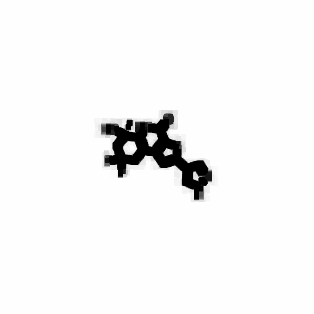 C[C@@]1(O)CC(F)(F)Cc2c1[nH]c(=O)c1sc(-c3cn[nH]c3)cc21